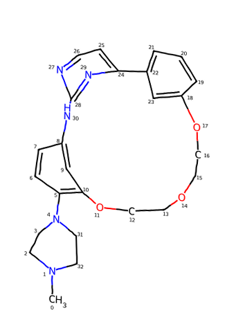 CN1CCN(c2ccc3cc2OCCOCCOc2cccc(c2)-c2ccnc(n2)N3)CC1